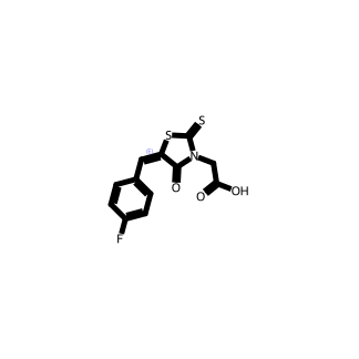 O=C(O)CN1C(=O)/C(=C\c2ccc(F)cc2)SC1=S